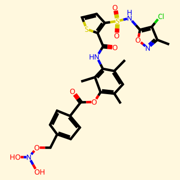 Cc1cc(C)c(OC(=O)c2ccc(CON(O)O)cc2)c(C)c1NC(=O)c1sccc1S(=O)(=O)Nc1onc(C)c1Cl